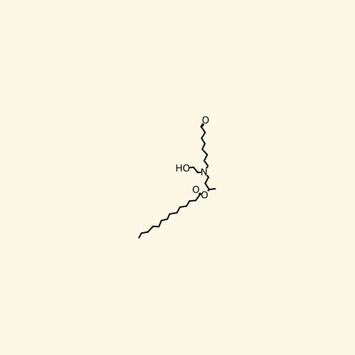 CCCCCCCCCCCCCC(=O)OC(C)CCN(CCO)CCCCCCCC=O